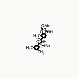 CC[C@@H](N(NC(=O)c1ccc(B(O)O)c(OCCOC)c1C)C(=O)c1cc(C)cc(C)c1)C(C)(C)C